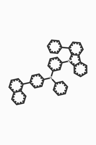 c1ccc(-c2cccc3c4ccccc4n(-c4cccc(N(c5ccccc5)c5ccc(-c6cccc7ccccc67)cc5)c4)c23)cc1